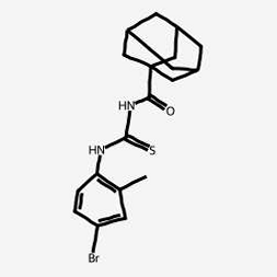 Cc1cc(Br)ccc1NC(=S)NC(=O)C12CC3CC(CC(C3)C1)C2